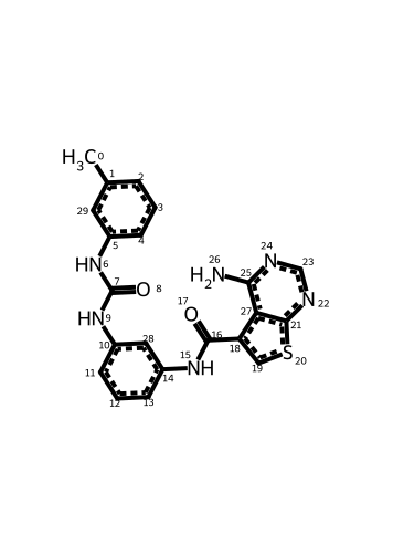 Cc1cccc(NC(=O)Nc2cccc(NC(=O)c3csc4ncnc(N)c34)c2)c1